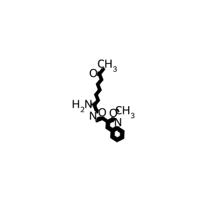 CCC(=O)CCCCC[C@H](N)c1ncc(-c2cc3ccccc3nc2OC)o1